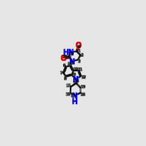 O=C1CCN(c2cccc3c2ccn3C2CCNCC2)C(=O)N1